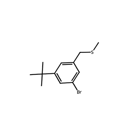 CSCc1cc(Br)cc(C(C)(C)C)c1